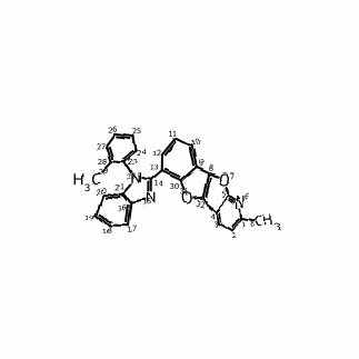 Cc1ccc2c(n1)oc1c3cccc(-c4nc5ccccc5n4-c4ccccc4C)c3oc21